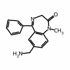 CN1C(=O)CN=C(c2ccccc2)c2cc(CN)ccc21